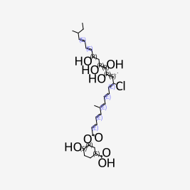 CCC(C)/C=C/C=C/[C@H](O)C[C@@H](O)[C@@H](O)[C@H](O)[C@H](C)/C(Cl)=C/C=C/C=C(C)/C=C/C=C/C(=O)O[C@@H]1C[C@@H](C(=O)O)CC[C@@H]1O